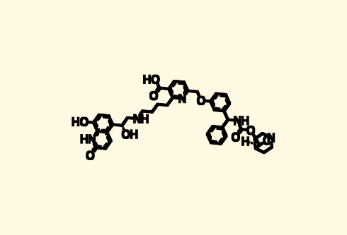 O=C(NC(c1ccccc1)c1cccc(OCc2ccc(C(=O)O)c(CCCCNC[C@H](O)c3ccc(O)c4[nH]c(=O)ccc34)n2)c1)O[C@H]1CN2CCC1CC2